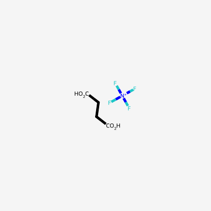 F[N+](F)(F)F.O=C(O)CCC(=O)O